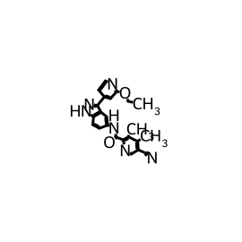 CCOc1cc(-c2n[nH]c3ccc(NC(=O)c4ncc(C#N)c(C)c4C)cc23)ccn1